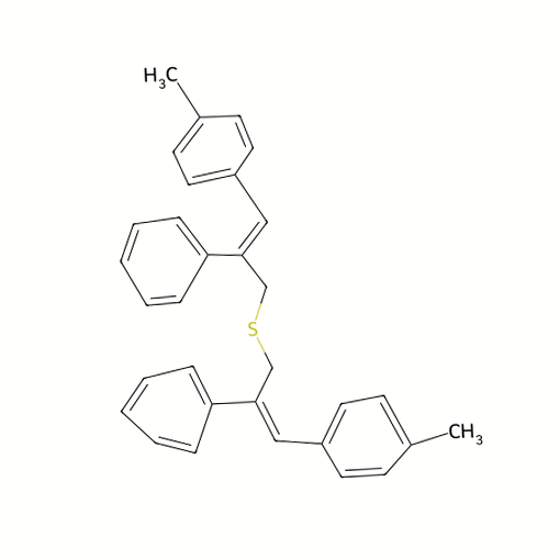 Cc1ccc(C=C(CSCC(=Cc2ccc(C)cc2)c2ccccc2)c2ccccc2)cc1